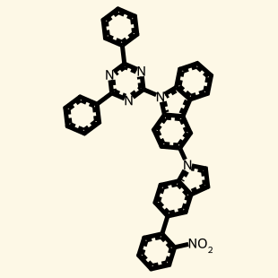 O=[N+]([O-])c1ccccc1-c1ccc2c(ccn2-c2ccc3c(c2)c2ccccc2n3-c2nc(-c3ccccc3)nc(-c3ccccc3)n2)c1